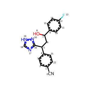 N#Cc1ccc(C(CC(O)c2ccc(F)cc2)c2nc[nH]n2)cc1